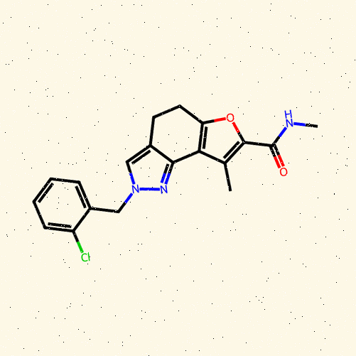 CNC(=O)c1oc2c(c1C)-c1nn(Cc3ccccc3Cl)cc1CC2